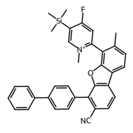 Cc1ccc2c(oc3c(-c4ccc(-c5ccccc5)cc4)c(C#N)ccc32)c1-c1cc(F)c([Si](C)(C)C)c[n+]1C